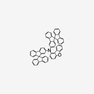 c1ccc2c(c1)-c1ccccc1C21c2ccccc2-c2cc(N(c3ccc4c(c3)C3(c5ccccc5-c5ccccc53)c3ccccc3-4)c3cccc4oc5ccccc5c34)ccc21